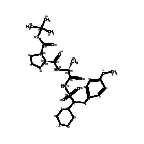 COc1ccc(CC(C2CCCCC2)S(=O)(=O)NC(=O)[C@@H](C)NC(=O)[C@@H]2SCCN2C(=O)OC(C)(C)C)cc1